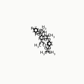 CCN(CC)c1ncc(N(CC)S(=O)(=O)c2ccc(F)cc2F)c(NC(C)C(=O)Oc2ccc(OC(=O)N(C)C)cc2)n1